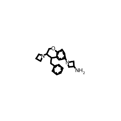 NC1CN(c2ccc3c(c2)C(Cc2ccccc2)C(N2CCC2)CO3)C1